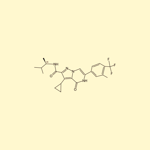 Cc1cc(-c2cn3nc(C(=O)N[C@H](C)C(C)C)c(C4CC4)c3c(=O)[nH]2)ccc1C(F)(F)F